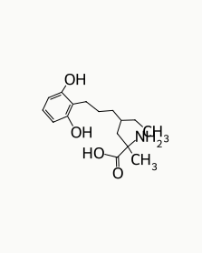 CCC(CCCc1c(O)cccc1O)CC(C)(N)C(=O)O